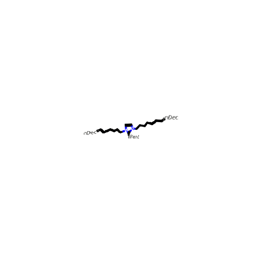 CCCCCCCCCCCCCCCCCN1C=CN(CCCCCCCCCCCCCCCC)C1CCCCC